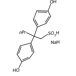 CCCC(CS(=O)(=O)O)(c1ccc(O)cc1)c1ccc(O)cc1.[NaH]